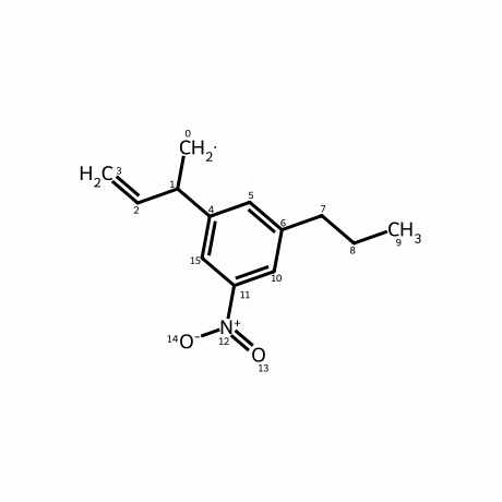 [CH2]C(C=C)c1cc(CCC)cc([N+](=O)[O-])c1